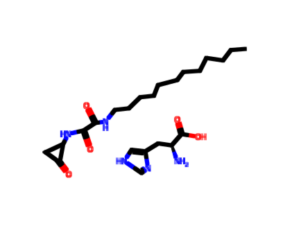 CCCCCCCCCCCCNC(=O)C(=O)NC1CC1=O.N[C@@H](Cc1c[nH]cn1)C(=O)O